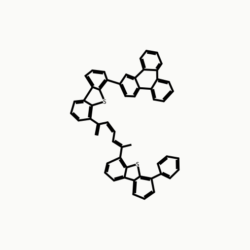 C=C(/C=C\C=C(/C)c1cccc2c1sc1c(-c3ccccc3)cccc12)c1cccc2c1sc1c(-c3ccc4c5ccccc5c5ccccc5c4c3)cccc12